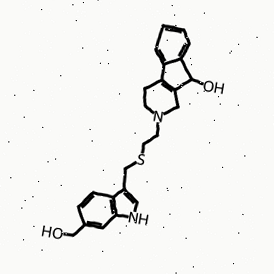 OCc1ccc2c(CSCCN3CCC4=C(C3)C(O)c3ccccc34)c[nH]c2c1